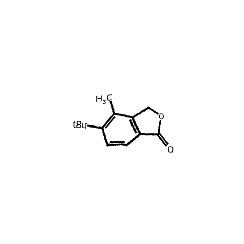 Cc1c(C(C)(C)C)ccc2c1COC2=O